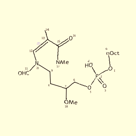 CCCCCCCCOP(=O)(O)OCC(CCN(C=O)/C=C(/C)C(=O)NC)OC